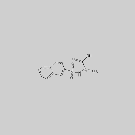 C[C@H](NS(=O)(=O)c1ccc2ccccc2c1)C(=O)O